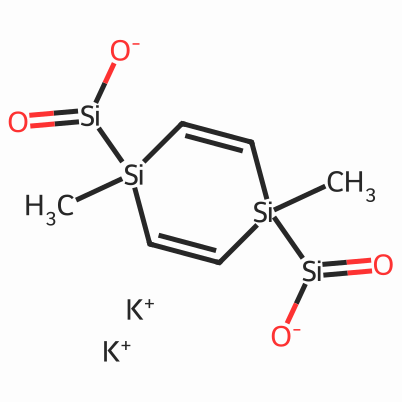 C[Si]1([Si](=O)[O-])C=C[Si](C)([Si](=O)[O-])C=C1.[K+].[K+]